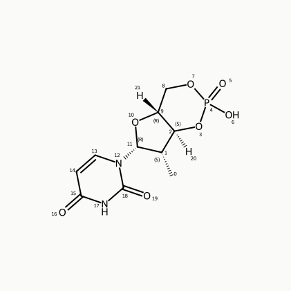 C[C@H]1[C@@H]2OP(=O)(O)OC[C@H]2O[C@H]1n1ccc(=O)[nH]c1=O